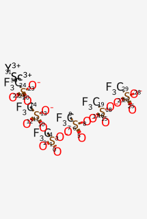 O=S(=O)([O-])C(F)(F)F.O=S(=O)([O-])C(F)(F)F.O=S(=O)([O-])C(F)(F)F.O=S(=O)([O-])C(F)(F)F.O=S(=O)([O-])C(F)(F)F.O=S(=O)([O-])C(F)(F)F.[Sc+3].[Y+3]